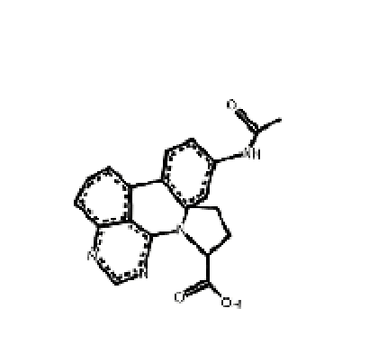 CC(=O)Nc1ccc(-c2cccc3ncnc(N4CCCC4C(=O)O)c23)cc1